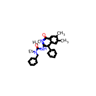 CCN(Cc1ccccc1)C(=O)Nc1c(-c2ccccc2)c2cc(C)c(C)cc2c(=O)n1C